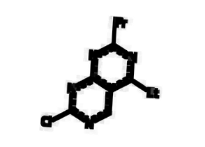 CCc1nc(C(C)C)nc2nc(Cl)ncc12